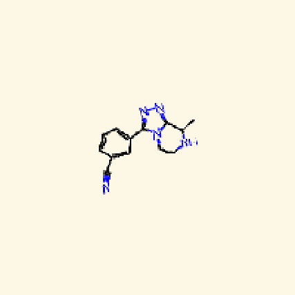 C[C@H]1NCCn2c(-c3cccc(C#N)c3)nnc21